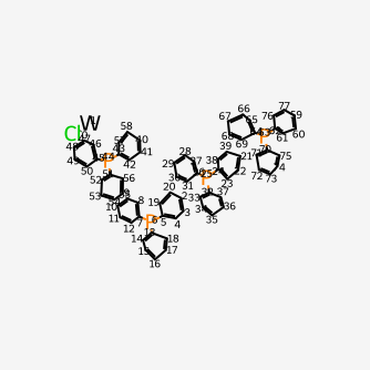 [Cl][W].c1ccc(P(c2ccccc2)c2ccccc2)cc1.c1ccc(P(c2ccccc2)c2ccccc2)cc1.c1ccc(P(c2ccccc2)c2ccccc2)cc1.c1ccc(P(c2ccccc2)c2ccccc2)cc1